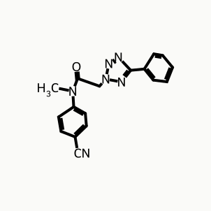 CN(C(=O)Cn1nnc(-c2ccccc2)n1)c1ccc(C#N)cc1